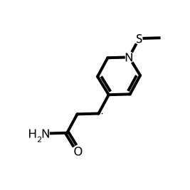 CSN1C=CC([CH]CC(N)=O)=CC1